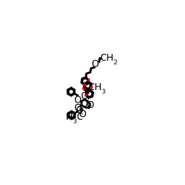 C=CCOCCCCc1ccc(Cc2cc([C@]34OC[C@](C(=O)OC)(O3)[C@@H](OCc3ccccc3)[C@H](OCc3ccccc3)[C@H]4OCc3ccccc3)ccc2C)cc1